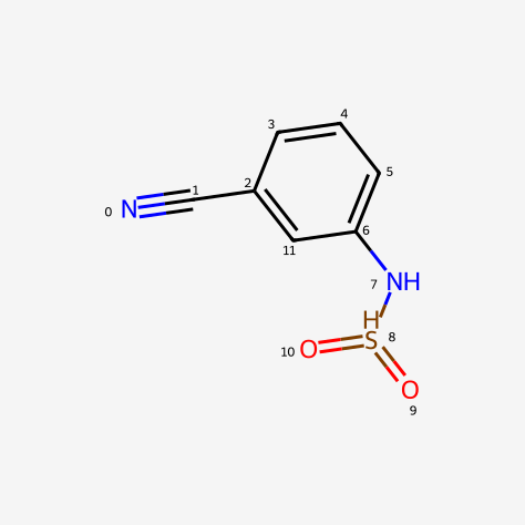 N#Cc1cccc(N[SH](=O)=O)c1